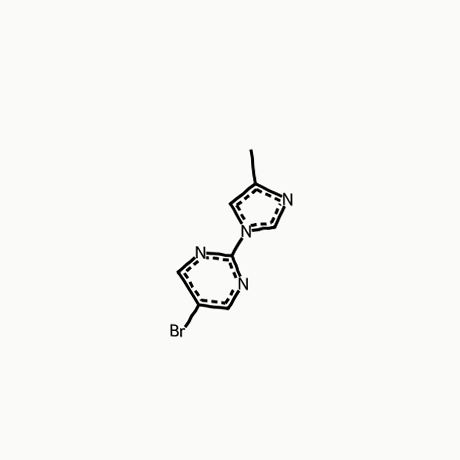 Cc1cn(-c2ncc(Br)cn2)cn1